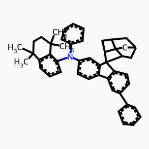 CC1(C)CCC(C)(C)c2c(N(c3ccccc3)c3ccc4c(c3)C3(c5ccc(-c6ccccc6)cc5-4)C4CC5CC6CC3C64C5)cccc21